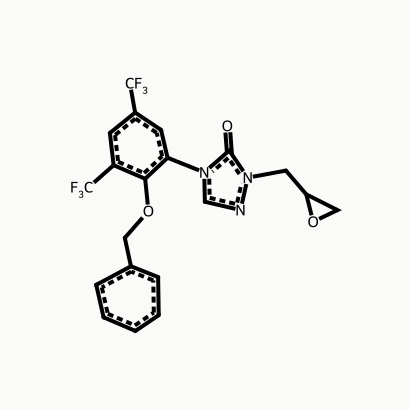 O=c1n(-c2cc(C(F)(F)F)cc(C(F)(F)F)c2OCc2ccccc2)cnn1CC1CO1